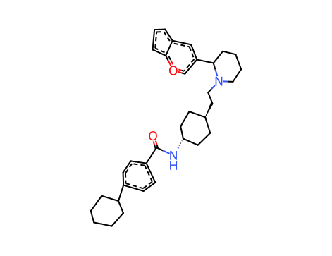 O=C(N[C@H]1CC[C@H](CCN2CCCCC2c2coc3cccc-3c2)CC1)c1ccc(C2CCCCC2)cc1